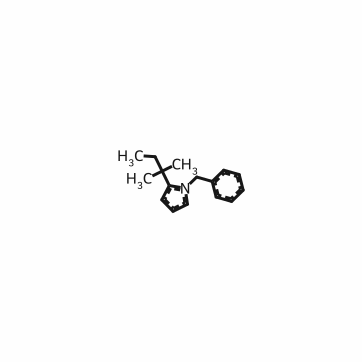 CCC(C)(C)c1cccn1Cc1ccccc1